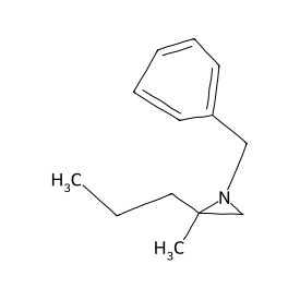 CCCC1(C)CN1Cc1ccccc1